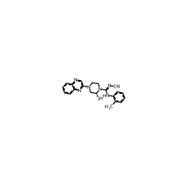 Cc1ccccc1N/C(=N\C#N)N1CCN(c2cnc3ccccc3n2)C[C@@H]1C(C)C